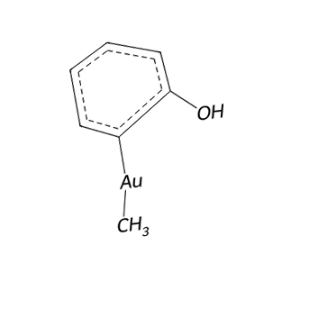 [CH3][Au][c]1ccccc1O